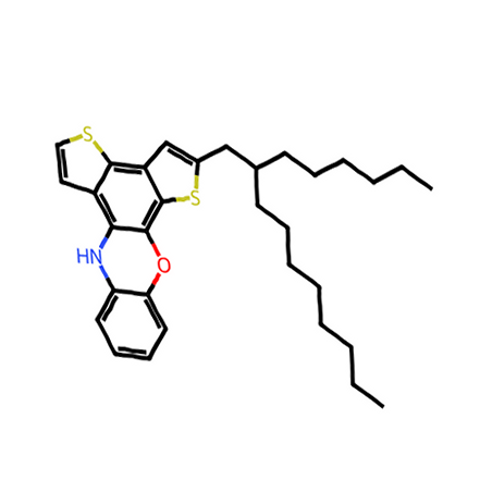 CCCCCCCCC(CCCCCC)Cc1cc2c(s1)c1c(c3ccsc32)Nc2ccccc2O1